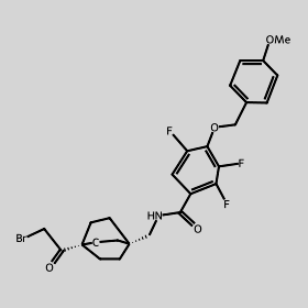 COc1ccc(COc2c(F)cc(C(=O)NC[C@]34CC[C@](C(=O)CBr)(CC3)CC4)c(F)c2F)cc1